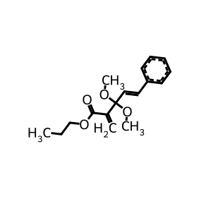 C=C(C(=O)OCCC)C(/C=C/c1ccccc1)(OC)OC